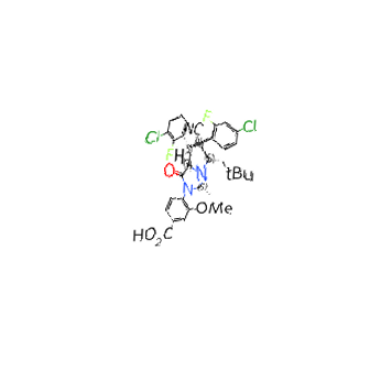 COc1cc(C(=O)O)ccc1N1C(=O)[C@H]2[C@H](c3cccc(Cl)c3F)[C@@](C#N)(c3ccc(Cl)cc3F)[C@H](CC(C)(C)C)N2[C@@H]1C